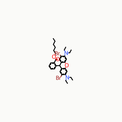 CCCCCCOC(=O)c1ccccc1C1c2cc(Br)c(N(CC)CC)cc2Oc2cc(N(CC)CC)c(Br)cc21